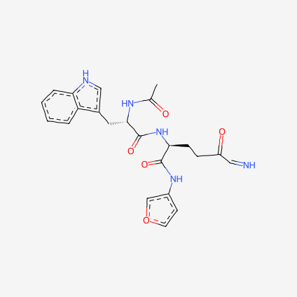 CC(=O)N[C@@H](Cc1c[nH]c2ccccc12)C(=O)N[C@@H](CCC(=O)C=N)C(=O)Nc1ccoc1